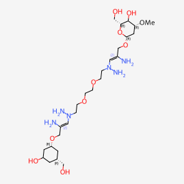 CO[C@@H]1C[C@H](OC/C(N)=C/N(N)CCOCCOCCN(N)/C=C(\N)CO[C@H]2CC(O)C[C@@H](CO)C2)O[C@H](CO)C1O